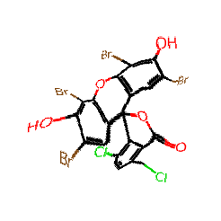 O=C1OC2(c3cc(Br)c(O)c(Br)c3Oc3c2cc(Br)c(O)c3Br)c2c(Cl)ccc(Cl)c21